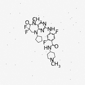 CN1CCC(NC(=O)c2cc(F)c(Nc3ncc4c(n3)N(C3CCCC3)CC(F)(F)C(=O)N4C)cc2F)CC1